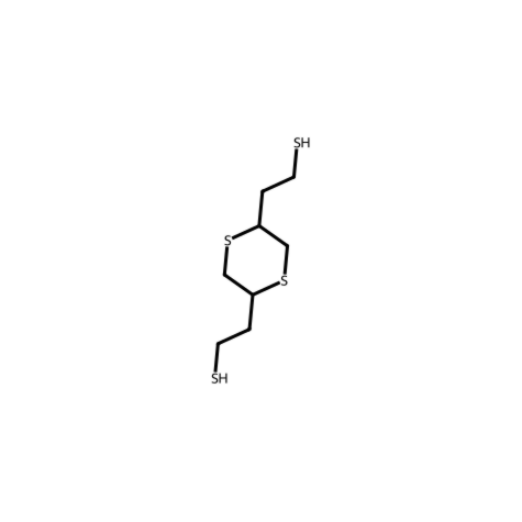 SCCC1CSC(CCS)CS1